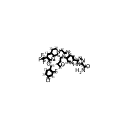 NC(=O)c1nnc(-c2cc3nc(CN4CCc5cc(C(F)(F)F)c(OCc6ccc(Cl)cc6F)nc5C4)n(CC4CCO4)c3cn2)[nH]1